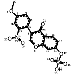 COc1ccc(-c2coc3cc(OS(=O)(=O)O)ccc3c2=O)c([N+](=O)[O-])c1